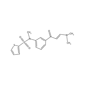 CN(C)C=CC(=O)c1cccc(N(C)S(=O)(=O)c2cccs2)c1